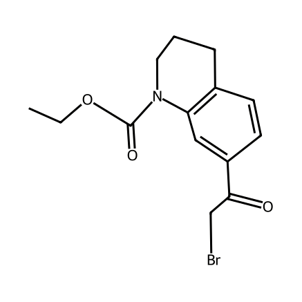 CCOC(=O)N1CCCc2ccc(C(=O)CBr)cc21